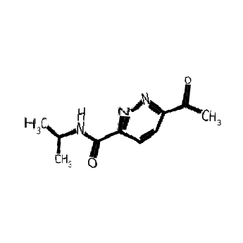 CC(=O)c1ccc(C(=O)NC(C)C)nn1